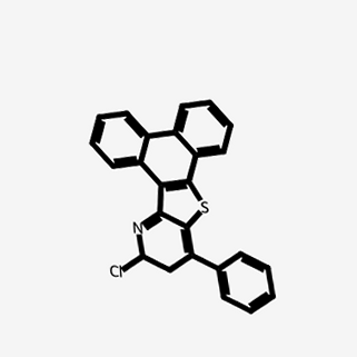 ClC1CC(c2ccccc2)=c2sc3c4ccccc4c4ccccc4c3c2=N1